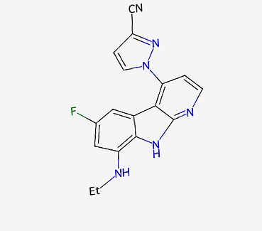 CCNc1cc(F)cc2c1[nH]c1nccc(-n3ccc(C#N)n3)c12